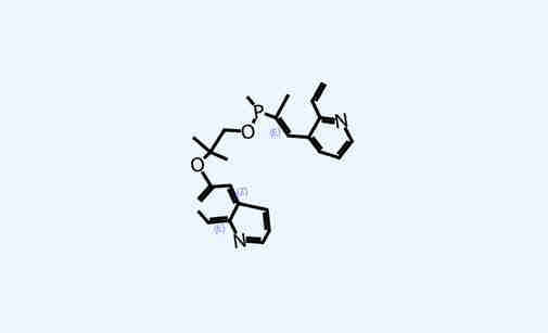 C=Cc1ncccc1/C=C(\C)P(C)OCC(C)(C)OC(=C)/C=c1/cccn/c1=C/C